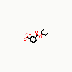 CCC(CC)OC(=O)c1cccc(C(=O)O)c1